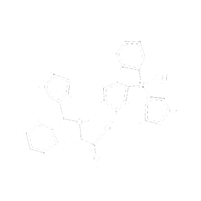 C[N+](c1ccccc1)(c1ccccc1)c1ccccc1.O=C([O-])COC(c1ccccc1)c1ccccc1